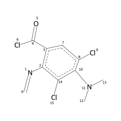 C=Nc1c(C(=O)Cl)cc(Cl)c(N(C)C)c1Cl